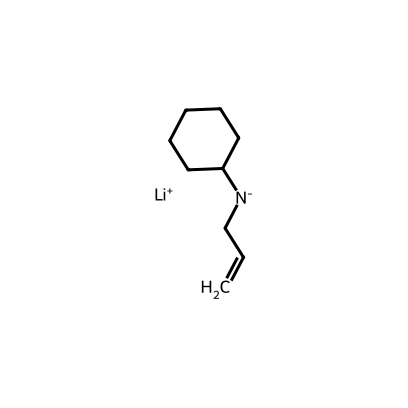 C=CC[N-]C1CCCCC1.[Li+]